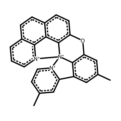 Cc1cc2c3c(c1)-c1cc(C)cc[n+]1[N+]31c3c(ccc4ccc5ccc[n+]1c5c34)O2